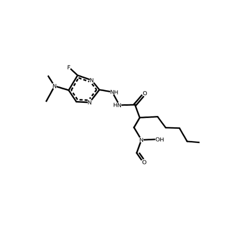 CCCCCC(CN(O)C=O)C(=O)NNc1ncc(N(C)C)c(F)n1